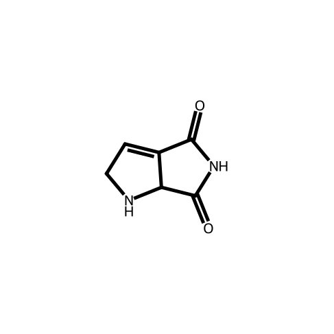 O=C1NC(=O)C2NCC=C12